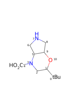 CC(C)(C)C1CN(C(=O)O)C2CNCC2O1